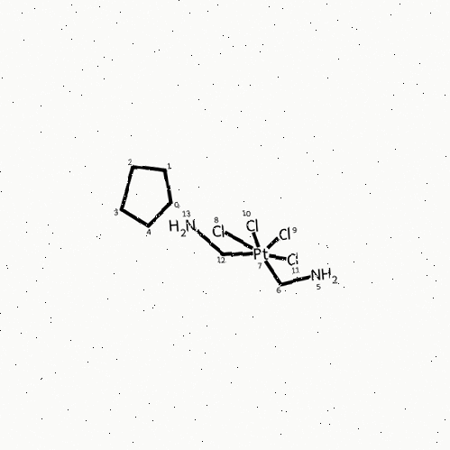 C1CCCC1.N[CH2][Pt]([Cl])([Cl])([Cl])([Cl])[CH2]N